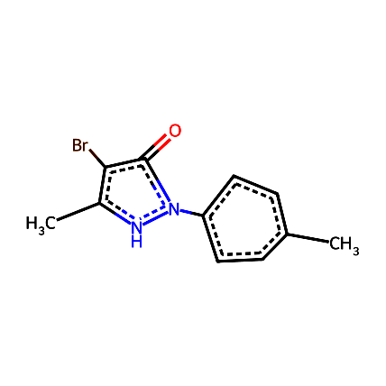 Cc1ccc(-n2[nH]c(C)c(Br)c2=O)cc1